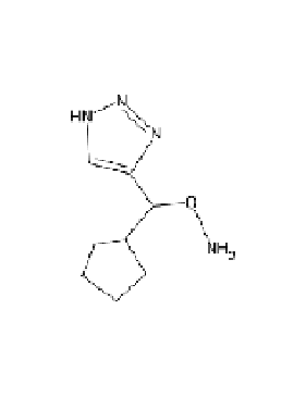 NOC(c1c[nH]nn1)C1CCCC1